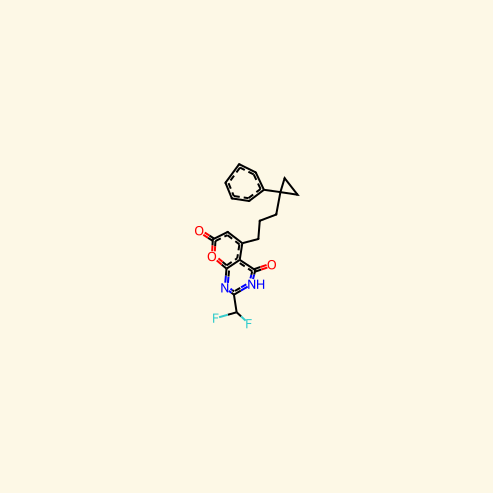 O=c1cc(CCCC2(c3ccccc3)CC2)c2c(=O)[nH]c(C(F)F)nc2o1